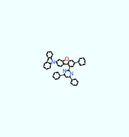 c1ccc(-c2cc(-c3nc(-c4ccccc4)cc(-c4ccccc4)n3)c3c(c2)oc2cc(-n4c5ccccc5c5ccccc54)ccc23)cc1